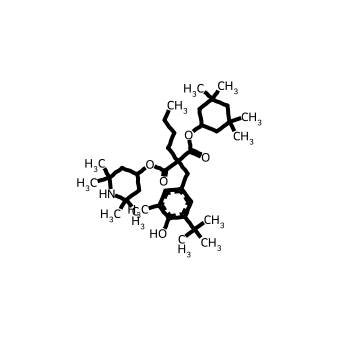 CCCCC(Cc1cc(C)c(O)c(C(C)(C)C)c1)(C(=O)OC1CC(C)(C)CC(C)(C)C1)C(=O)OC1CC(C)(C)NC(C)(C)C1